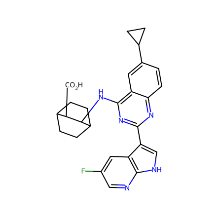 O=C(O)C1C2CCC(CC2)C1Nc1nc(-c2c[nH]c3ncc(F)cc23)nc2ccc(C3CC3)cc12